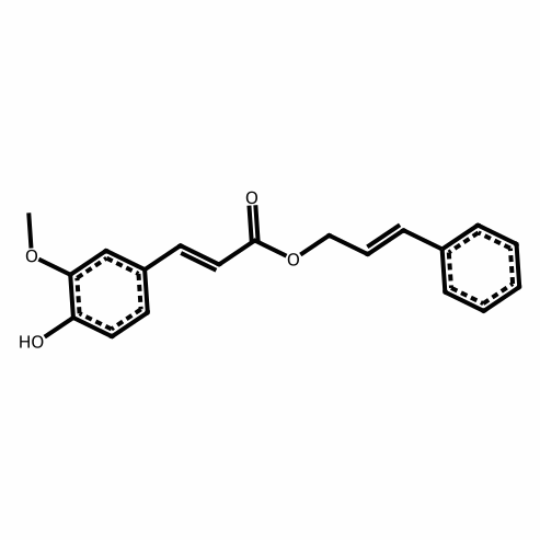 COc1cc(/C=C/C(=O)OCC=Cc2ccccc2)ccc1O